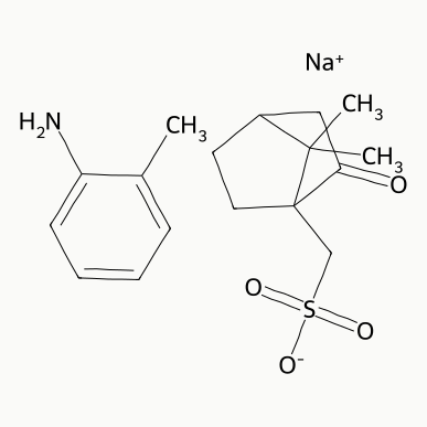 CC1(C)C2CCC1(CS(=O)(=O)[O-])C(=O)C2.Cc1ccccc1N.[Na+]